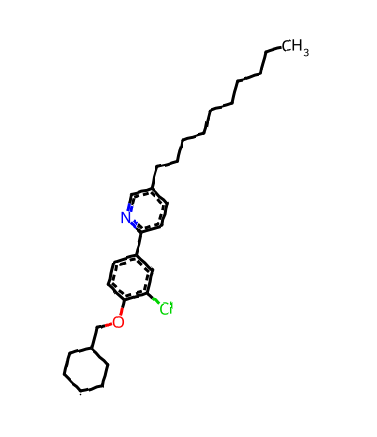 CCCCCCCCCCc1ccc(-c2ccc(OCC3CC[CH]CC3)c(Cl)c2)nc1